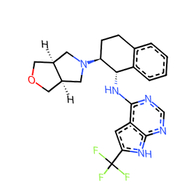 FC(F)(F)c1cc2c(N[C@H]3c4ccccc4CC[C@@H]3N3C[C@H]4COC[C@H]4C3)ncnc2[nH]1